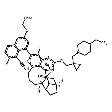 C#Cc1c(F)ccc2cc(OCOC)cc(-c3nc4c5c(nc(OCC6(CN7CCC(CC(F)(F)F)CC7)CC6)nc5c3F)N3C[C@H]5CC[C@@H]([C@H]3CCC4)N5C(=O)OC(C)(C)C)c12